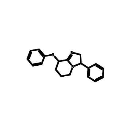 c1ccc(SC2CCCN3C2=NCC3c2ccccc2)cc1